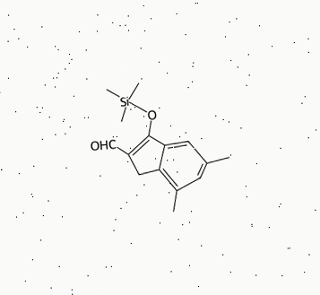 Cc1cc(C)c2c(c1)C(O[Si](C)(C)C)=C(C=O)C2